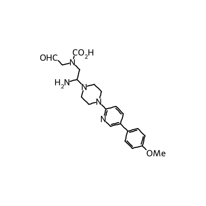 COc1ccc(-c2ccc(N3CCN(C(N)CN(CC=O)C(=O)O)CC3)nc2)cc1